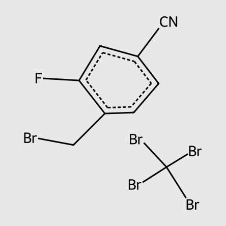 BrC(Br)(Br)Br.N#Cc1ccc(CBr)c(F)c1